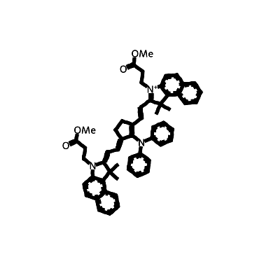 COC(=O)CCN1/C(=C/C=C2\CCC(/C=C/C3=[N+](CCC(=O)OC)c4ccc5ccccc5c4C3(C)C)=C2N(c2ccccc2)c2ccccc2)C(C)(C)c2c1ccc1ccccc21